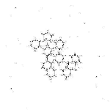 c1ccc(-c2cc(-c3ccc4ccccc4c3)c(-c3ccc(N4c5ccccc5Cc5ccccc54)cc3)c3c4ccccc4c4ccccc4c23)cc1